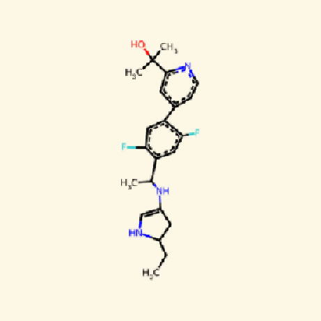 CCC1CC(NC(C)c2cc(F)c(-c3ccnc(C(C)(C)O)c3)cc2F)=CN1